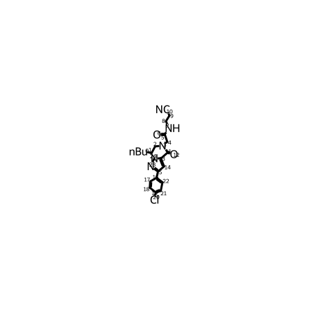 CCCCC1CN(CC(=O)NCCC#N)C(=O)c2cc(-c3ccc(Cl)cc3)nn21